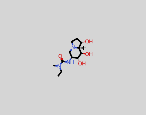 CCN(C)C(=O)N[C@H]1CN2CC[C@H](O)[C@@H]2[C@@H](O)[C@@H]1O